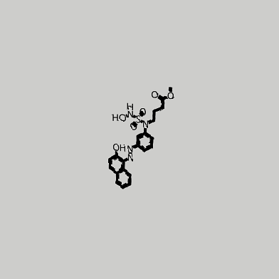 COC(=O)CCCN(c1cccc(N=Nc2c(O)ccc3ccccc23)c1)S(=O)(=O)NO